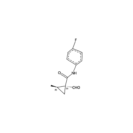 C[C@@H]1C[C@]1(C=O)C(=O)Nc1ccc(F)cc1